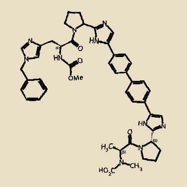 COC(=O)N[C@@H](Cc1cn(Cc2ccccc2)cn1)C(=O)N1CCCC1c1ncc(-c2ccc(-c3ccc(-c4cnc([C@@H]5CCCN5C(=O)[C@H](C)N(C)C(=O)O)[nH]4)cc3)cc2)[nH]1